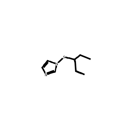 CCC(CC)Sn1ccnc1